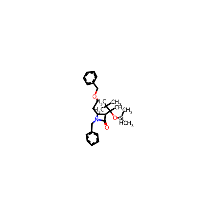 C[SiH](C)OC(C)(C1C(=O)N(Cc2ccccc2)C1CCOCc1ccccc1)C(C)(C)C